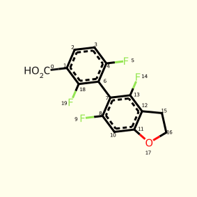 O=C(O)c1ccc(F)c(-c2c(F)cc3c(c2F)CCO3)c1F